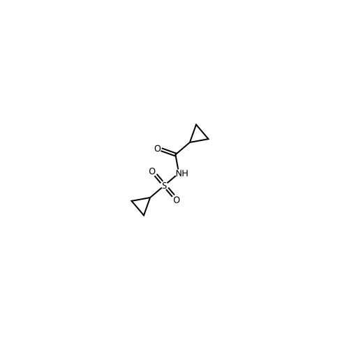 O=C(NS(=O)(=O)C1CC1)C1CC1